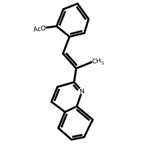 CC(=O)Oc1ccccc1C=C(C)c1ccc2ccccc2n1